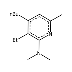 CCCCc1[c]c(C)nc(N(C)C)c1CC